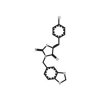 O=C1C(=Cc2ccc(Cl)cc2)SC(=S)N1Cc1ccc2c(c1)OCO2